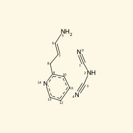 N#CNC#N.NC=CCc1ccccn1